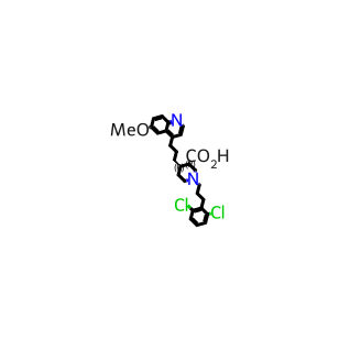 COc1ccc2nccc(CCC[C@@H]3CCN(CCCc4c(Cl)cccc4Cl)C[C@@H]3C(=O)O)c2c1